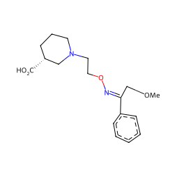 COC/C(=N\OCCN1CCC[C@@H](C(=O)O)C1)c1ccccc1